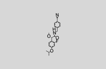 CO[C@H](C(=O)NCc1ccc(C#N)cc1)c1ccc(OC(C)C)cc1F